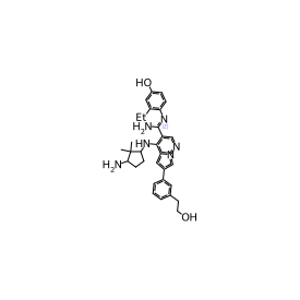 CCc1cc(O)ccc1/N=C(\N)c1cnn2cc(-c3cccc(CCO)c3)cc2c1NC1CCC(N)C1(C)C